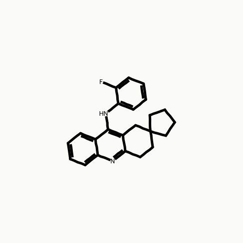 Fc1ccccc1Nc1c2c(nc3ccccc13)CCC1(CCCC1)C2